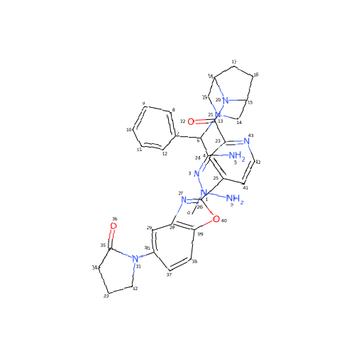 CN(N)/N=C(\N)C(c1ccccc1)N1CC2CCC(C1)N2C(=O)c1cc(-c2nc3cc(N4CCCC4=O)ccc3o2)ccn1